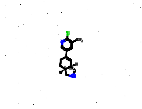 Cc1cc(C2=C[C@H]3CNC[C@H]3CC2)cnc1Cl